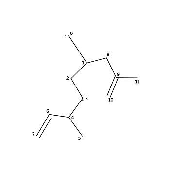 [CH2]C(C[CH]C(C)C=C)CC(=C)C